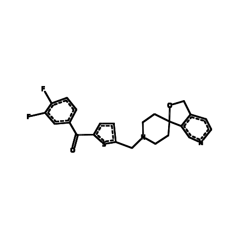 O=C(c1ccc(F)c(F)c1)c1ccc(CN2CCC3(CC2)OCc2ccncc23)s1